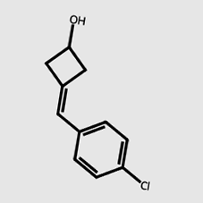 OC1CC(=Cc2ccc(Cl)cc2)C1